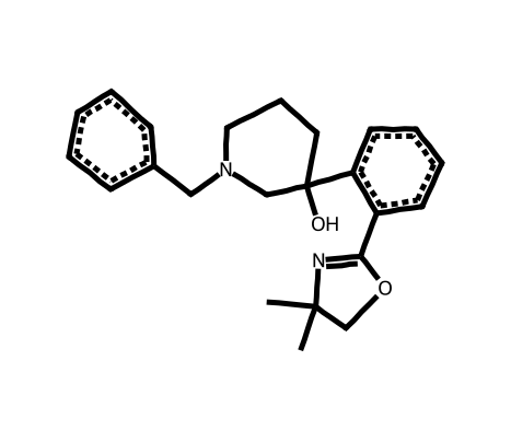 CC1(C)COC(c2ccccc2C2(O)CCCN(Cc3ccccc3)C2)=N1